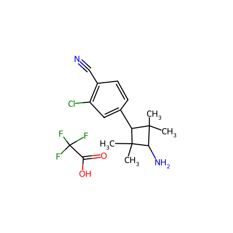 CC1(C)C(N)C(C)(C)C1c1ccc(C#N)c(Cl)c1.O=C(O)C(F)(F)F